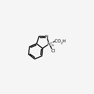 O=C(O)[N@+]1(Cl)N=Cc2ccccc21